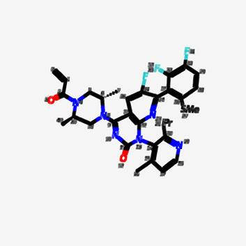 C=CC(=O)N1C[C@H](C)N(c2nc(=O)n(-c3c(C)ccnc3C(C)C)c3nc(-c4c(SC)ccc(F)c4F)c(F)cc23)C[C@H]1C